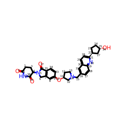 O=C1CCC(N2Cc3cc(O[C@H]4CCN(Cc5ccc6nc([C@H]7CC[C@H](O)C7)ccc6c5)C4)ccc3C2=O)C(=O)N1